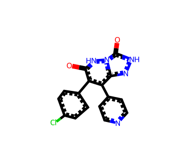 O=c1[nH]n2c(=O)[nH]nc2c(-c2ccncc2)c1-c1ccc(Cl)cc1